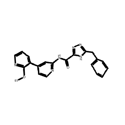 CCOc1ncccc1-c1ccnc(NC(=O)c2nnc(Cc3ccccc3)[nH]2)c1